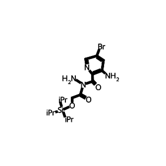 CC(C)[Si](OCC(=O)N(N)C(=O)c1ncc(Br)cc1N)(C(C)C)C(C)C